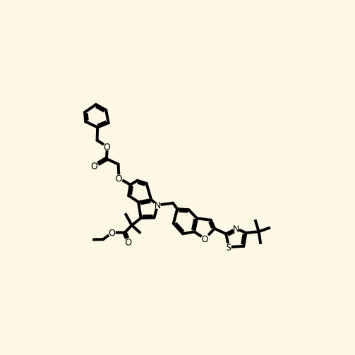 CCOC(=O)C(C)(C)c1cn(Cc2ccc3oc(-c4nc(C(C)(C)C)cs4)cc3c2)c2ccc(OCC(=O)OCc3ccccc3)cc12